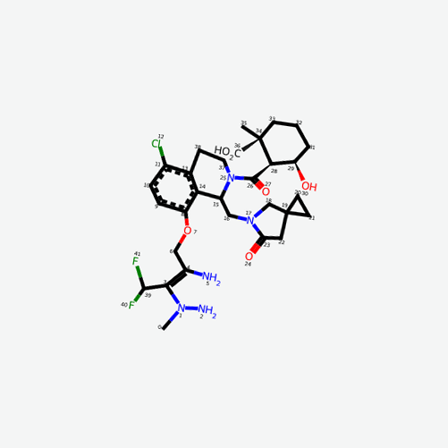 CN(N)/C(=C(\N)COc1ccc(Cl)c2c1C(CN1CC3(CC3)CC1=O)N(C(=O)[C@@H]1[C@H](O)CCC[C@]1(C)C(=O)O)CC2)C(F)F